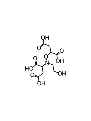 O=C(O)CC(ON(CCO)C(CC(=O)O)C(=O)O)C(=O)O